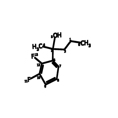 CCCC(C)(O)c1cccc(F)c1F